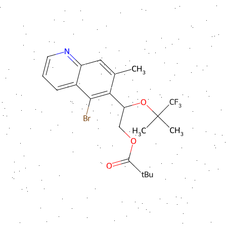 Cc1cc2ncccc2c(Br)c1C(COC(=O)C(C)(C)C)OC(C)(C)C(F)(F)F